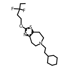 CCC(F)(F)CCOc1nc2c(s1)CCN(CCC1CCCCC1)CC2